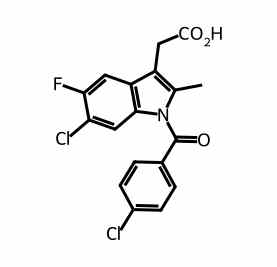 Cc1c(CC(=O)O)c2cc(F)c(Cl)cc2n1C(=O)c1ccc(Cl)cc1